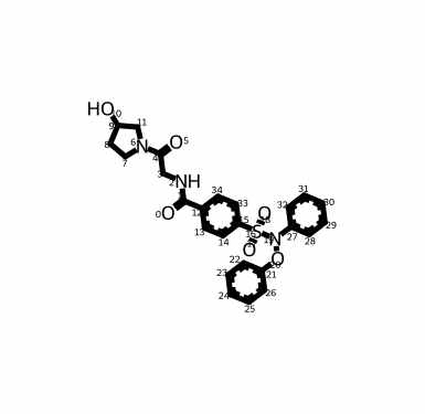 O=C(NCC(=O)N1CCC(O)C1)c1ccc(S(=O)(=O)N(Oc2ccccc2)c2ccccc2)cc1